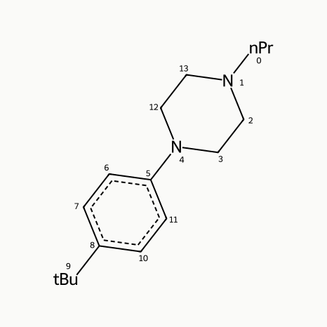 C[CH]CN1CCN(c2ccc(C(C)(C)C)cc2)CC1